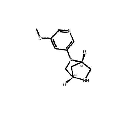 COc1cncc(N2C[C@@H]3C[C@H]2CN3)c1